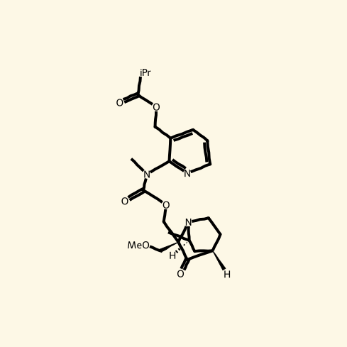 COC[C@]1(COC(=O)N(C)c2ncccc2COC(=O)C(C)C)C(=O)[C@H]2CCN1[C@H](C)C2